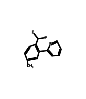 Cc1ccc(C(F)F)c(-c2ccccn2)c1